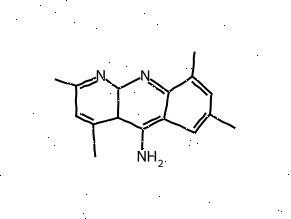 CC1=CC(C)=NC2N=c3c(C)cc(C)cc3=C(N)C12